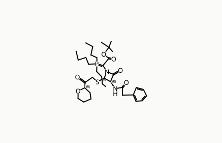 CCCCP(CCCC)(CCCC)=C(C(=O)OC(C)(C)C)N1C(=O)[C@@H](NC(=O)Cc2ccccc2)[C@H]1SCC(=O)[C@H]1CCCCO1